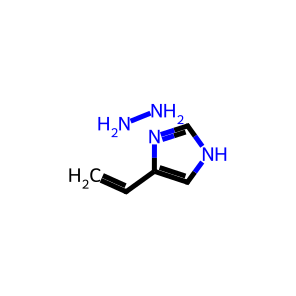 C=Cc1c[nH]cn1.NN